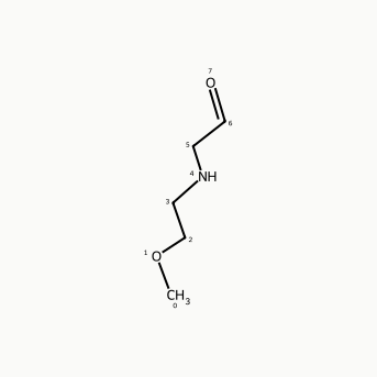 COCCNCC=O